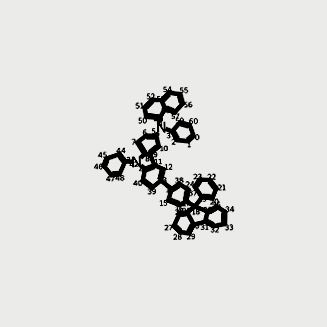 c1ccc(N(c2ccc3c(c2)c2cc(-c4ccc(C5(c6ccccc6)c6ccccc6-c6ccccc65)cc4)ccc2n3-c2ccccc2)c2cccc3ccccc23)cc1